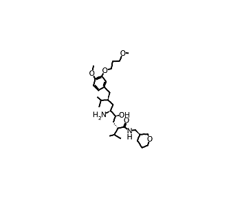 COCCCOc1cc(C[C@@H](C[C@H](N)[C@@H](O)C[C@H](C(=O)NC[C@@H]2CCCOC2)C(C)C)C(C)C)ccc1OC